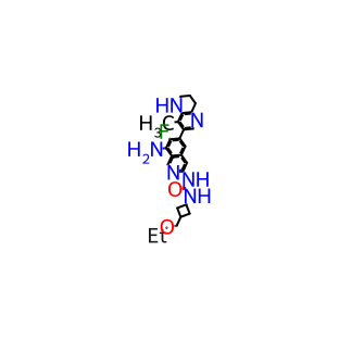 CCOCC1CC(NC(=O)Nc2cc3cc(-c4cnc5c(c4C)NCCC5)c(F)c(N)c3cn2)C1